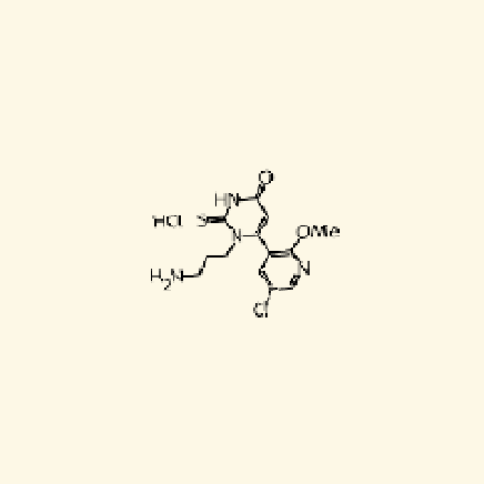 COc1ncc(Cl)cc1-c1cc(=O)[nH]c(=S)n1CCCN.Cl